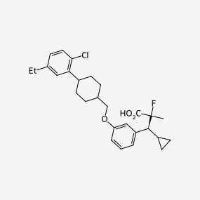 CCc1ccc(Cl)c(C2CCC(COc3cccc([C@H](C4CC4)C(C)(F)C(=O)O)c3)CC2)c1